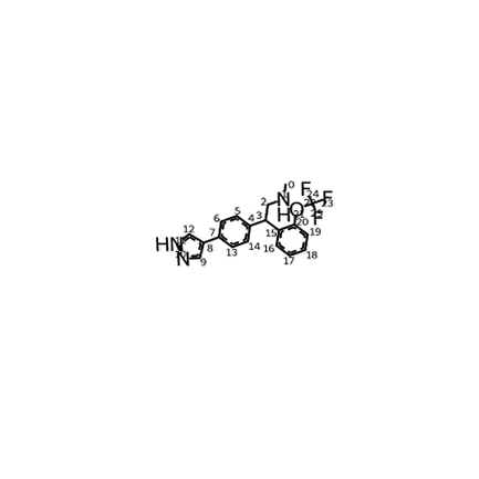 CNCC(c1ccc(-c2cn[nH]c2)cc1)c1ccccc1OC(F)(F)F